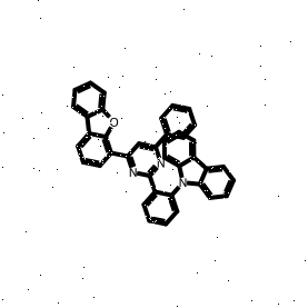 c1ccc(-c2cc(-c3cccc4c3oc3ccccc34)nc(-c3ccccc3-n3c4ccccc4c4ccccc43)n2)cc1